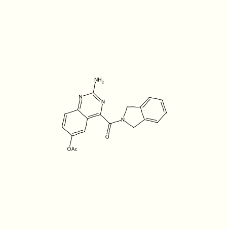 CC(=O)Oc1ccc2nc(N)nc(C(=O)N3Cc4ccccc4C3)c2c1